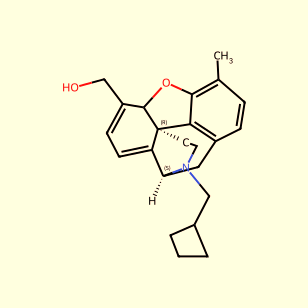 Cc1ccc2c3c1OC1C(CO)=CC=C4[C@H](C2)N(CC2CCC2)CC[C@@]431